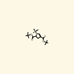 CC(C)(C)OC(=O)C1=CN([Si](C)(C)C)C(C(=O)OC(C)(C)C)C1